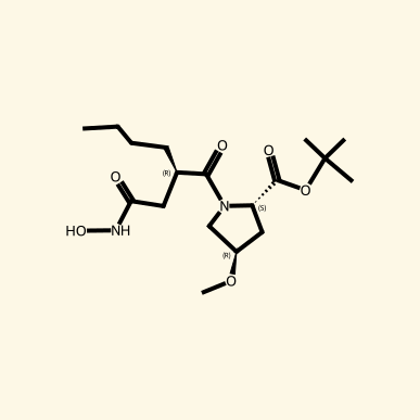 CCCC[C@H](CC(=O)NO)C(=O)N1C[C@H](OC)C[C@H]1C(=O)OC(C)(C)C